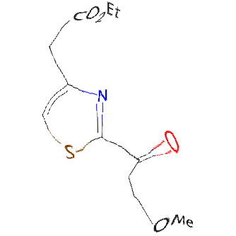 CCOC(=O)Cc1csc(C(=O)COC)n1